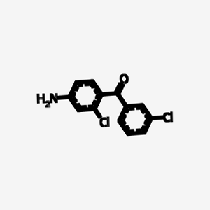 Nc1ccc(C(=O)c2cccc(Cl)c2)c(Cl)c1